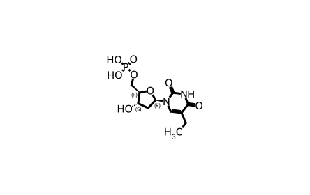 CCc1cn([C@H]2C[C@H](O)[C@@H](COP(=O)(O)O)O2)c(=O)[nH]c1=O